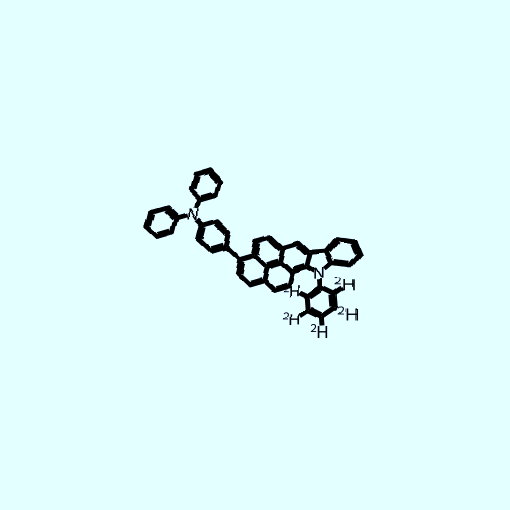 [2H]c1c([2H])c([2H])c(-n2c3ccccc3c3cc4ccc5c(-c6ccc(N(c7ccccc7)c7ccccc7)cc6)ccc6ccc(c4c65)c32)c([2H])c1[2H]